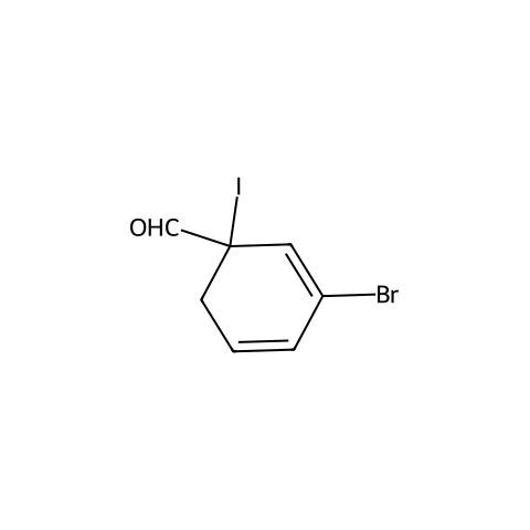 O=CC1(I)C=C(Br)C=CC1